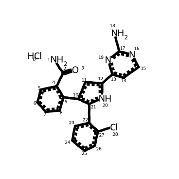 Cl.NC(=O)c1ccccc1-c1cc(-c2ccnc(N)n2)[nH]c1-c1ccccc1Cl